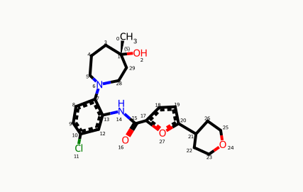 C[C@]1(O)CCCN(c2ccc(Cl)cc2NC(=O)c2ccc(C3CCOCC3)o2)CC1